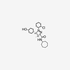 C[C@H]1C(C(=O)NC2CCCCCC2)=NN(c2ccccc2Cl)[C@H]1c1ccc(O)cc1